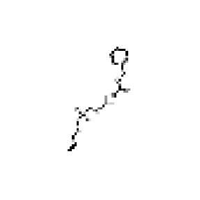 C=CCOCC(F)(F)COC1CN(C(=O)OCc2ccccc2)C1